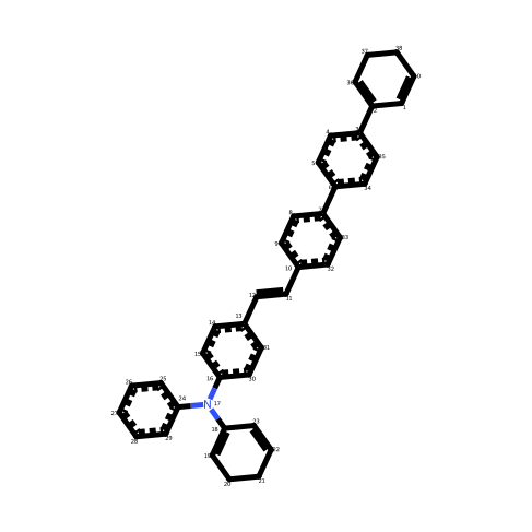 C1=CC(c2ccc(-c3ccc(/C=C/c4ccc(N(C5=CCCC=C5)c5ccccc5)cc4)cc3)cc2)=CCC1